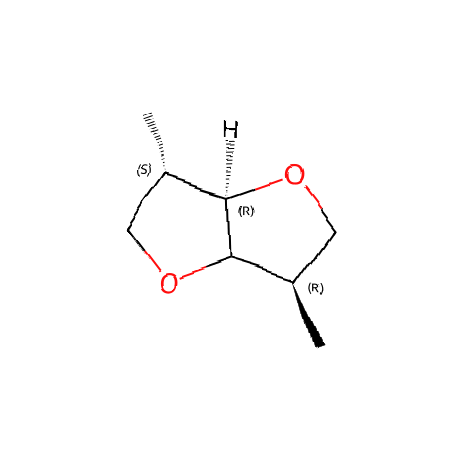 C[C@@H]1CO[C@H]2C1OC[C@@H]2C